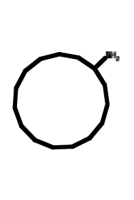 BC1CCCCCCCCCCCCCC1